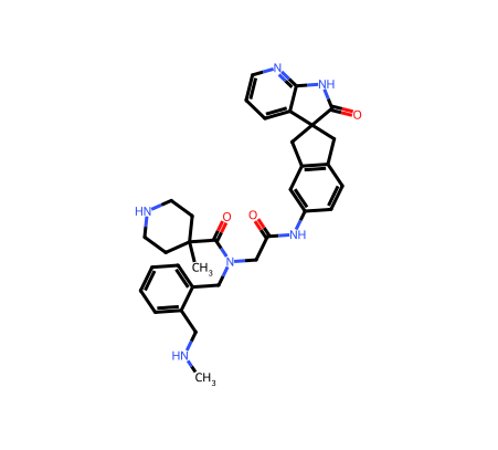 CNCc1ccccc1CN(CC(=O)Nc1ccc2c(c1)CC1(C2)C(=O)Nc2ncccc21)C(=O)C1(C)CCNCC1